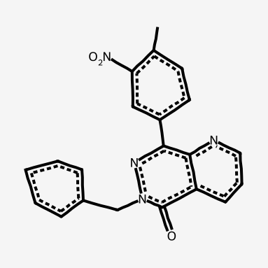 Cc1ccc(-c2nn(Cc3ccccc3)c(=O)c3cccnc23)cc1[N+](=O)[O-]